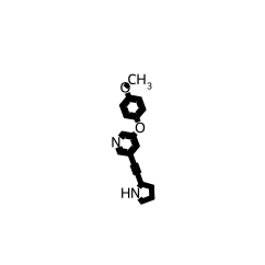 COc1ccc(Oc2cncc(C#CC3CCCN3)c2)cc1